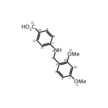 COc1ccc(CNc2ccc(C(=O)O)cc2)c(OC)c1